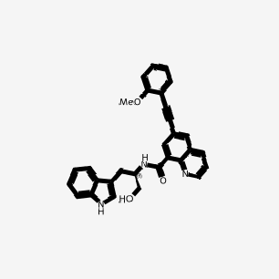 COc1ccccc1C#Cc1cc(C(=O)N[C@@H](CO)Cc2c[nH]c3ccccc23)c2ncccc2c1